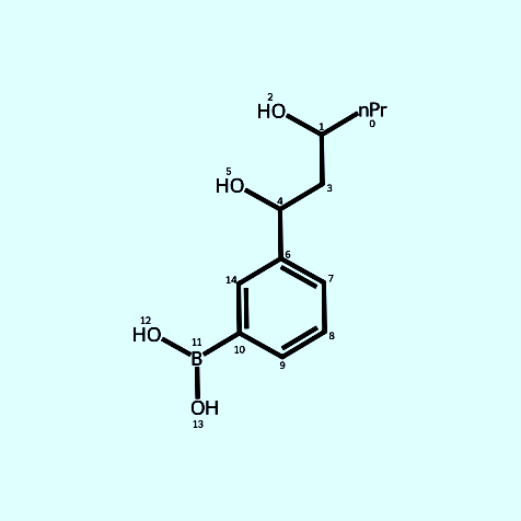 CCCC(O)CC(O)c1cccc(B(O)O)c1